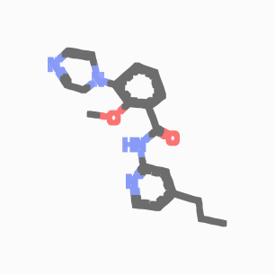 CCCc1ccnc(NC(=O)c2cccc(N3C=CN=CC3)c2OC)c1